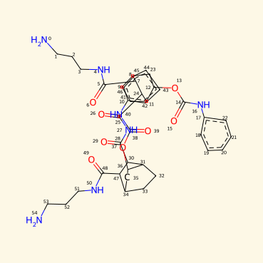 NCCCNC(=O)C1C2CCC(C(OC(=O)Nc3ccccc3)C2)C1C(=O)NC(=O)C1C2CCC(CC2OC(=O)Nc2ccccc2)C1C(=O)NCCCN